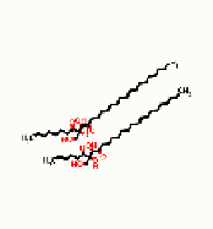 CCCCCCCCC=CCCCCCCCC(=O)C(O)C(O)(CO)C(=O)CCCCC.CCCCCCCCC=CCCCCCCCC(=O)C(O)C(O)(CO)C(=O)CCCCCCC